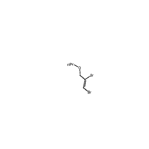 CCCOCC(Br)=CBr